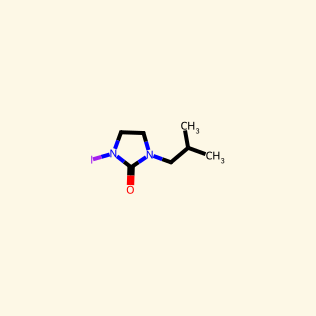 CC(C)CN1CCN(I)C1=O